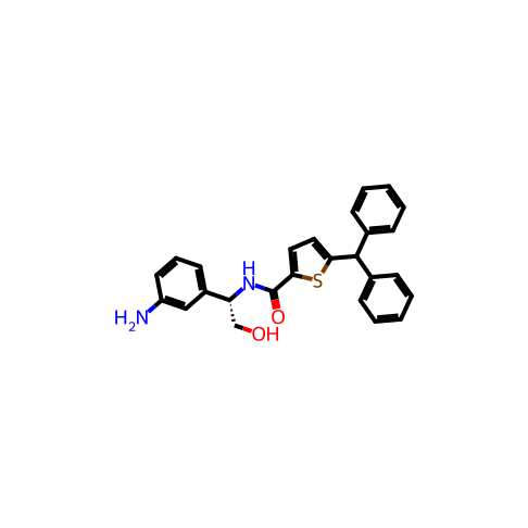 Nc1cccc([C@@H](CO)NC(=O)c2ccc(C(c3ccccc3)c3ccccc3)s2)c1